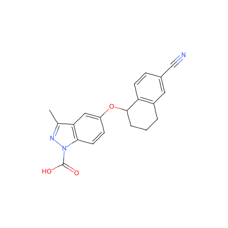 Cc1nn(C(=O)O)c2ccc(OC3CCCc4cc(C#N)ccc43)cc12